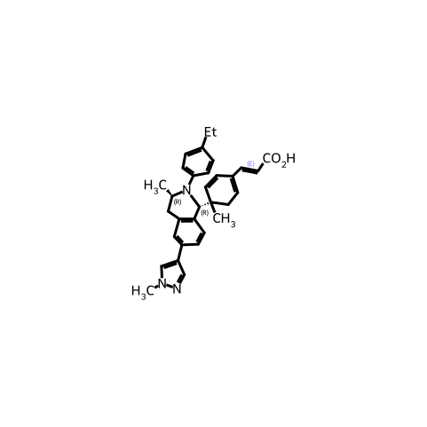 CCc1ccc(N2[C@H](C)Cc3cc(-c4cnn(C)c4)ccc3[C@H]2C2(C)C=CC(/C=C/C(=O)O)=CC2)cc1